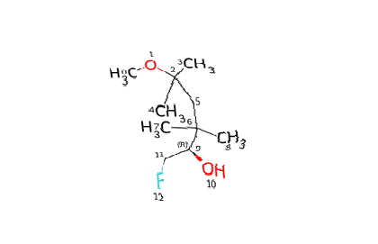 COC(C)(C)CC(C)(C)[C@@H](O)CF